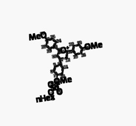 CCCCCC[O][Sb](=[O])([O-])[F].COc1ccc(-c2cc(-c3ccc(OC)cc3)[o+]c(-c3ccc(OC)cc3)c2)cc1